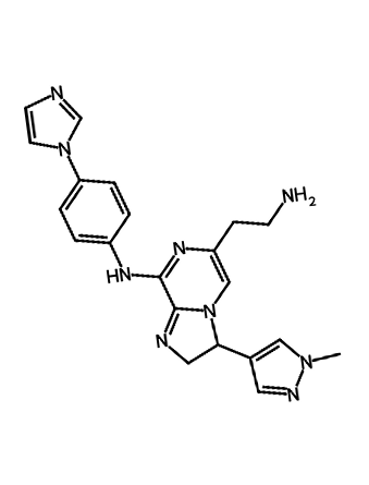 Cn1cc(C2CN=C3C(Nc4ccc(-n5ccnc5)cc4)=NC(CCN)=CN32)cn1